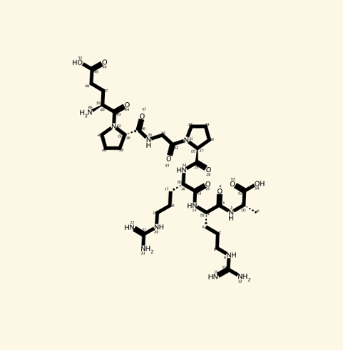 C[C@H](NC(=O)[C@H](CCCNC(=N)N)NC(=O)[C@H](CCCNC(=N)N)NC(=O)[C@@H]1CCCN1C(=O)CNC(=O)[C@@H]1CCCN1C(=O)[C@@H](N)CCC(=O)O)C(=O)O